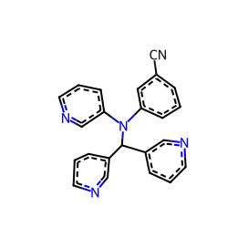 N#Cc1cccc(N(c2cccnc2)C(c2cccnc2)c2cccnc2)c1